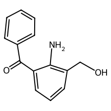 Nc1c(CO)cccc1C(=O)c1ccccc1